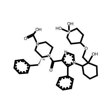 O=C(O)N1CCN(C(=O)c2ncn(C3CCCCC3(O)COC3CCS(O)(O)CC3)c2-c2ccccc2)[C@H](Cc2ccccc2)C1